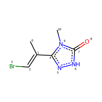 CC(=CBr)c1n[nH]c(=O)n1C